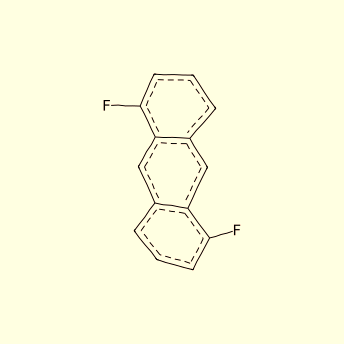 Fc1cccc2cc3c(F)cccc3cc12